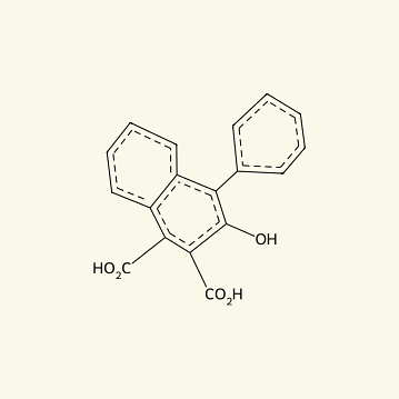 O=C(O)c1c(O)c(-c2ccccc2)c2ccccc2c1C(=O)O